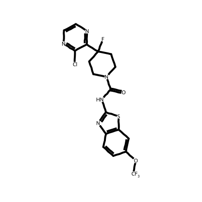 O=C(Nc1nc2ccc(OC(F)(F)F)cc2s1)N1CCC(F)(c2nccnc2Cl)CC1